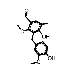 COc1cc(Cc2c(O)c(C)cc(C=O)c2OC)ccc1O